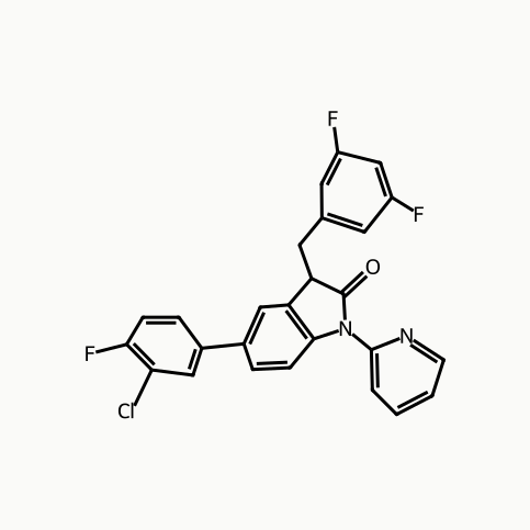 O=C1C(Cc2cc(F)cc(F)c2)c2cc(-c3ccc(F)c(Cl)c3)ccc2N1c1ccccn1